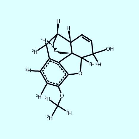 [2H]c1c([2H])c2c3c(c1OC([2H])([2H])[2H])OC1([2H])C([2H])(O)C=C[C@H]4[C@H](N(C)CC[C@@]341)C2([2H])[2H]